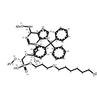 CCCCCCCCCCCCCCCCOCCCOP(=O)(O)[C@H](OC(C)C)O[C@@H](C)CN1C=NC(NOC)c2ncn(C(c3ccccc3)(c3ccccc3)c3ccccc3)c21